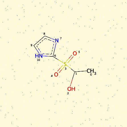 CC(O)S(=O)(=O)c1ncc[nH]1